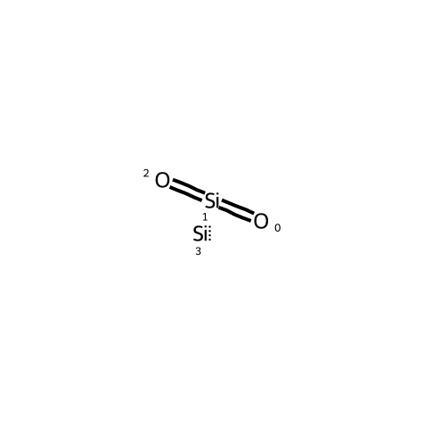 O=[Si]=O.[Si]